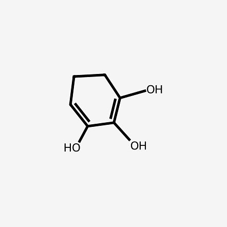 OC1=CCCC(O)=C1O